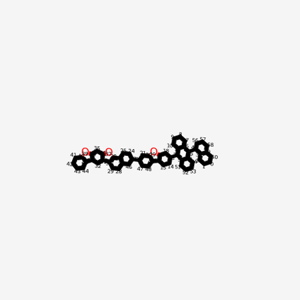 c1ccc2c(-c3c4ccccc4c(-c4ccc5c(c4)oc4cc(-c6ccc7c(ccc8c9cc%10c(cc9oc78)oc7ccccc7%10)c6)ccc45)c4ccccc34)cccc2c1